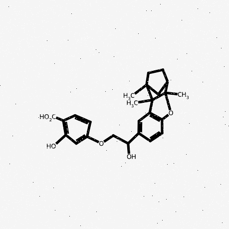 CC12CCC(C1)C1(C)Oc3ccc(C(O)COc4ccc(C(=O)O)c(O)c4)cc3C21C